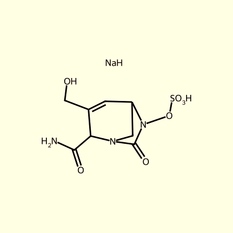 NC(=O)C1C(CO)=CC2CN1C(=O)N2OS(=O)(=O)O.[NaH]